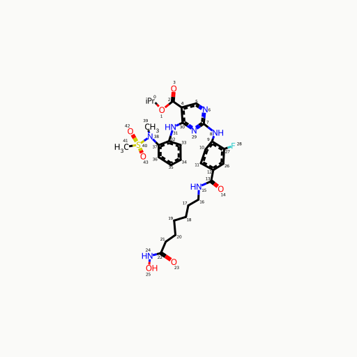 CC(C)OC(=O)c1cnc(Nc2ccc(C(=O)NCCCCCCC(=O)NO)cc2F)nc1Nc1ccccc1N(C)S(C)(=O)=O